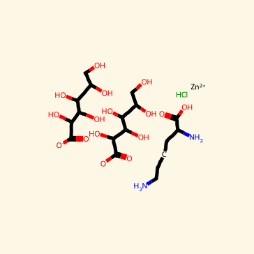 Cl.NCCCCC(N)C(=O)O.O=C([O-])C(O)C(O)C(O)C(O)CO.O=C([O-])C(O)C(O)C(O)C(O)CO.[Zn+2]